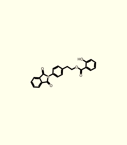 O=C(OCCc1ccc(N2C(=O)c3ccccc3C2=O)cc1)c1ccccc1O